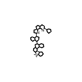 C[Si]1(C)c2ccccc2-c2c1ccc1cc(-c3ccc(-c4ccc5ccc6ccc(-c7ccccc7)nc6c5n4)c4ccccc34)c3ccccc3c21